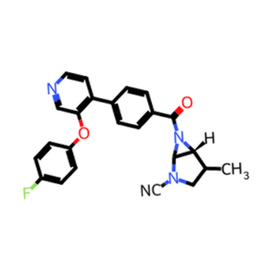 CC1CN(C#N)C2[C@@H]1N2C(=O)c1ccc(-c2ccncc2Oc2ccc(F)cc2)cc1